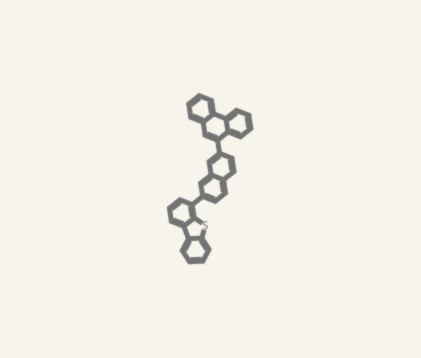 c1ccc2c(c1)cc(-c1ccc3ccc(-c4cccc5c4sc4ccccc45)cc3c1)c1ccccc12